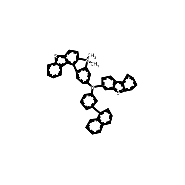 C[Si]1(C)c2cc(N(c3cccc(-c4cccc5ccccc45)c3)c3ccc4c(c3)sc3ccccc34)ccc2-c2c1ccc1sc3ccccc3c21